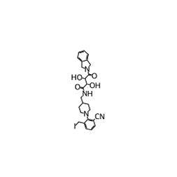 N#Cc1cccc(CI)c1N1CCC(CNC(=O)[C@H](O)[C@@H](O)C(=O)N2Cc3ccccc3C2)CC1